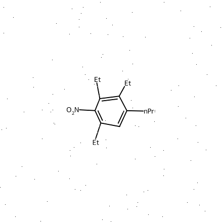 CC[C]c1cc(CC)c([N+](=O)[O-])c(CC)c1CC